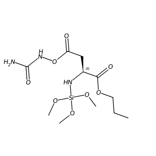 CCCOC(=O)[C@H](CC(=O)ONC(N)=O)N[Si](OC)(OC)OC